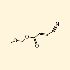 COCOC(=O)C=CC#N